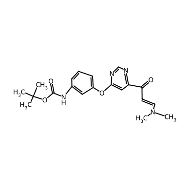 CN(C)C=CC(=O)c1cc(Oc2cccc(NC(=O)OC(C)(C)C)c2)ncn1